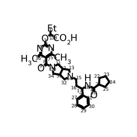 CCC(Oc1nc(C)c(C(=O)N2CC3CN(CCC(NC(=O)C4CCCC4)c4ccccc4)CC3C2)c(C)n1)C(=O)O